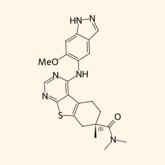 COc1cc2[nH]ncc2cc1Nc1ncnc2sc3c(c12)CC[C@](C)(C(=O)N(C)C)C3